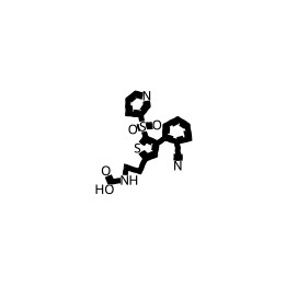 N#Cc1ccccc1-c1cc(CCNC(=O)O)sc1S(=O)(=O)c1cccnc1